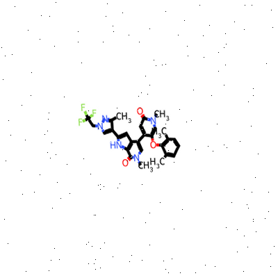 Cc1cccc(C)c1Oc1cn(C)c(=O)cc1-c1cn(C)c(=O)c2[nH]c(-c3cn(CC(F)(F)F)nc3C)cc12